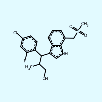 CC(CC#N)C(c1ccc(Cl)cc1F)c1c[nH]c2c(CS(C)(=O)=O)cccc12